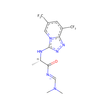 C[C@H](Nc1nnc2c(C(F)(F)F)cc(C(F)(F)F)cn12)C(=O)/N=C/N(C)C